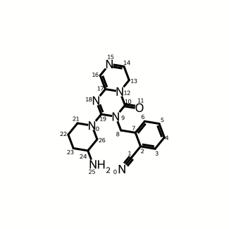 N#Cc1ccccc1CN1C(=O)N2CC=NC=C2N=C1N1CCCC(N)C1